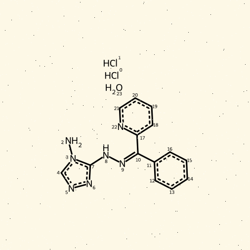 Cl.Cl.Nn1cnnc1NN=C(c1ccccc1)c1ccccn1.O